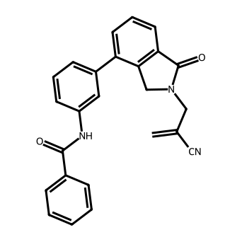 C=C(C#N)CN1Cc2c(cccc2-c2cccc(NC(=O)c3ccccc3)c2)C1=O